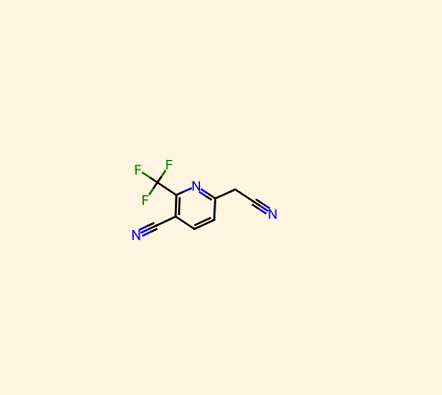 N#CCc1ccc(C#N)c(C(F)(F)F)n1